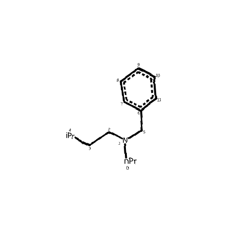 CCCN(CCC(C)C)Cc1ccccc1